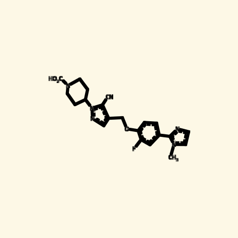 Cn1ccnc1-c1ccc(OCc2cnn(C3CCN(C(=O)O)CC3)c2C#N)c(F)c1